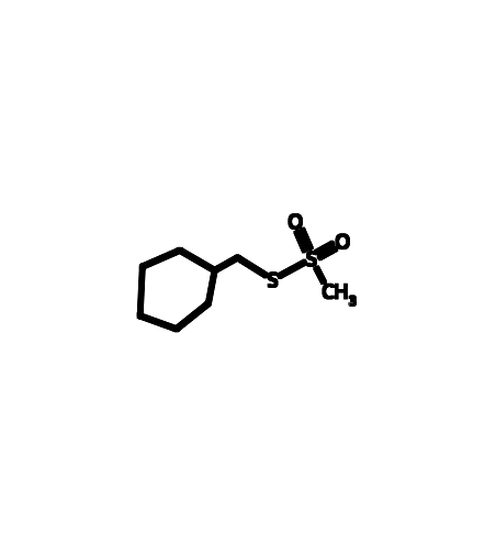 CS(=O)(=O)SCC1CCCCC1